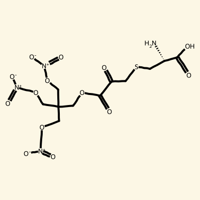 N[C@@H](CSCC(=O)C(=O)OCC(CO[N+](=O)[O-])(CO[N+](=O)[O-])CO[N+](=O)[O-])C(=O)O